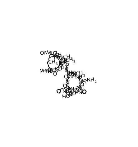 COc1cc2cc(c1Cl)N(C)C(=O)C[C@H](OC(=O)[C@H](C)N(C)C(=O)CCSSCCNC(=O)[C@@H]1CSSC[C@H](NC(=O)[C@H](N)Cc3ccccc3)C(=O)N[C@@H](Cc3ccc(O)cc3)C(=O)N[C@H](Cc3c[nH]c4ccccc34)C(=O)N[C@@H](CCCCN)C(=O)N[C@@H]([C@@H](C)O)C(=O)N1)[C@]1(C)O[C@H]1[C@H](C)[C@@H]1C[C@@](O)(NC(=O)O1)[C@H](OC)/C=C/C=C(\C)C2